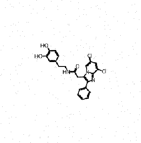 O=C(Cc1c(-c2ccccc2)nc2c(Cl)cc(Cl)cn12)NCCc1ccc(O)c(O)c1